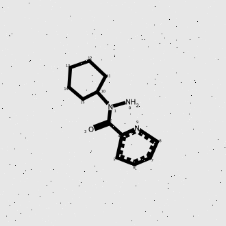 NN(C(=O)c1ccccn1)C1CCCCC1